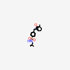 C=C(C)CNS(=O)(=O)c1ccc(/C=C2/C(=O)C3(C)CCC2C3(C)C)cc1